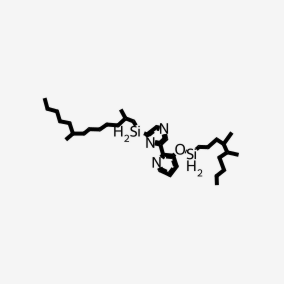 CCCCCC(C)CCCCCC(C)C[SiH2]c1cncc(-c2ncccc2O[SiH2]CCCC(C)C(C)CCCC)n1